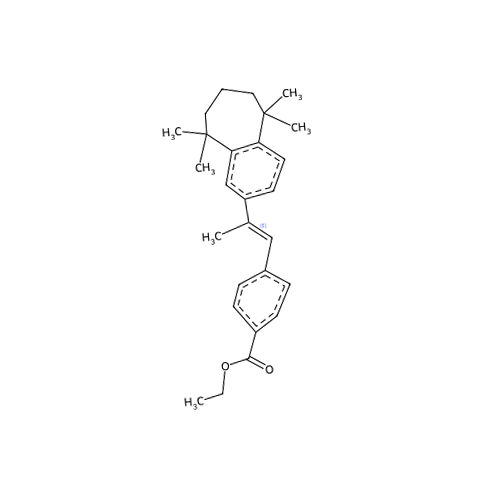 CCOC(=O)c1ccc(/C=C(\C)c2ccc3c(c2)C(C)(C)CCCC3(C)C)cc1